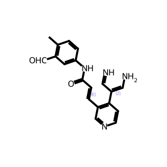 Cc1ccc(NC(=O)/C=C/c2cnccc2/C(C=N)=C/N)cc1C=O